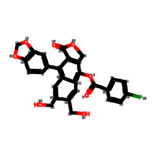 O=C(Oc1c2c(c(-c3ccc4c(c3)OCO4)c3cc(CO)c(CO)cc13)C(=O)OC2)c1ccc(F)cc1